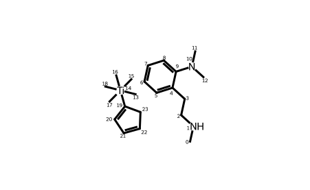 CNCCc1ccccc1N(C)C.[CH3][Ti]([CH3])([CH3])([CH3])([CH3])[C]1=CC=CC1